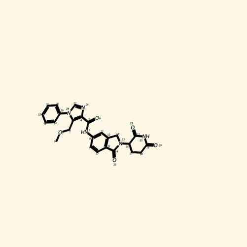 COCc1c(C(=O)Nc2ccc3c(c2)CN(C2CCC(=O)NC2=O)C3=O)ncn1-c1ccccc1